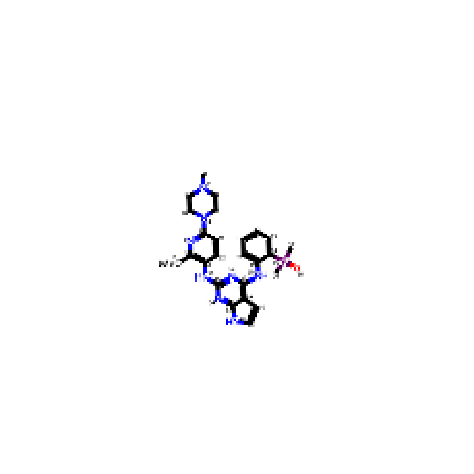 COc1nc(N2CCN(C)CC2)ccc1Nc1nc(Nc2ccccc2P(C)(C)=O)c2cc[nH]c2n1